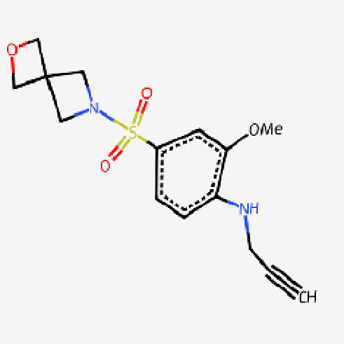 C#CCNc1ccc(S(=O)(=O)N2CC3(COC3)C2)cc1OC